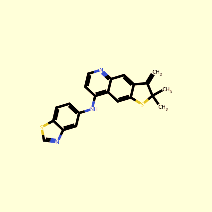 C=C1c2cc3nccc(Nc4ccc5scnc5c4)c3cc2SC1(C)C